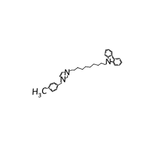 Cc1ccc(CN2C=CN(CCCCCCCCCCn3c4ccccc4c4ccccc43)C2)cc1